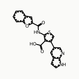 O=C(Nc1scc(-c2cnc3[nH]ccc3c2)c1C(=O)O)c1cc2ccccc2o1